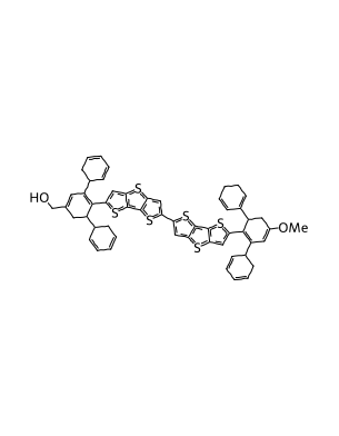 COC1=CC(C2C=CC=CC2)=C(c2cc3sc4cc(-c5cc6sc7cc(C8=C(C9C=CC=CC9)C=C(CO)CC8C8C=CC=CC8)sc7c6s5)sc4c3s2)C(C2=CCCC=C2)C1